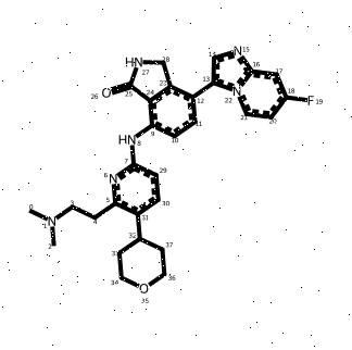 CN(C)CCc1nc(Nc2ccc(-c3cnc4cc(F)ccn34)c3c2C(=O)NC3)ccc1C1CCOCC1